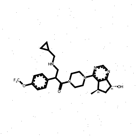 C[C@@H]1C[C@@H](O)c2ncnc(N3CCN(C(=O)C(CNCC4CC4)c4ccc(OC(F)(F)F)cc4)CC3)c21